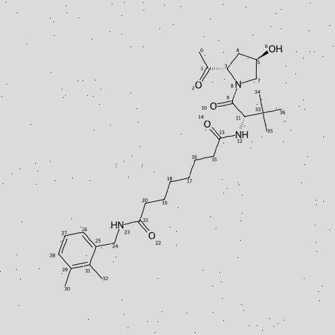 CC(=O)[C@@H]1C[C@@H](O)CN1C(=O)[C@@H](NC(=O)CCCCCCC(=O)NCc1cccc(C)c1C)C(C)(C)C